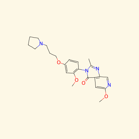 COc1cc2c(=O)n(-c3ccc(OCCCN4CCCC4)cc3OC)c(C)nc2cn1